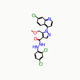 COCc1c(C(=O)NNc2ccc(Cl)cc2Cl)cnn1-c1ccnc2cc(Cl)ccc12